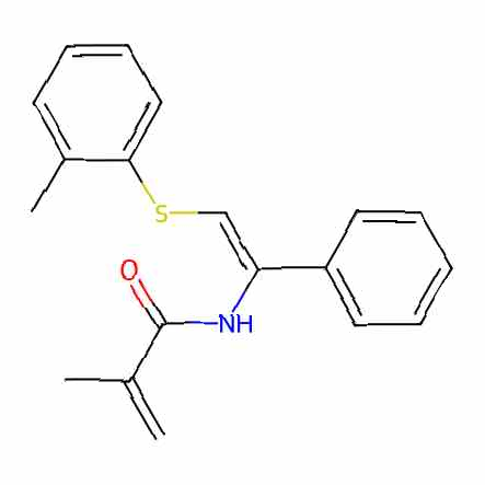 C=C(C)C(=O)N/C(=C\Sc1ccccc1C)c1ccccc1